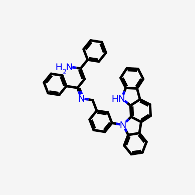 N/C(=C\C(=N/Cc1cccc(-n2c3ccccc3c3ccc4c5ccccc5[nH]c4c32)c1)c1ccccc1)c1ccccc1